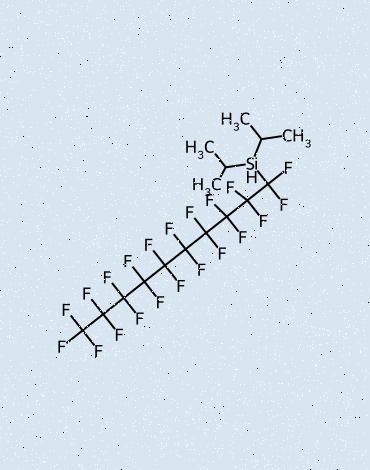 CC(C)[SiH](C(C)C)C(F)(F)C(F)(F)C(F)(F)C(F)(F)C(F)(F)C(F)(F)C(F)(F)C(F)(F)C(F)(F)C(F)(F)F